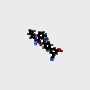 COc1cc(C#N)cc(-c2ccc([C@H](C)n3ncc4cccc(C(=O)NC5CC6(CCC6)C5)c43)cc2)c1